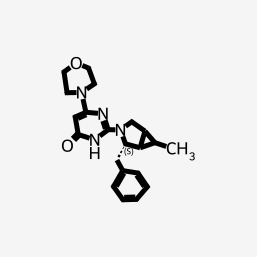 CC1C2CN(c3nc(N4CCOCC4)cc(=O)[nH]3)[C@@H](Cc3ccccc3)C12